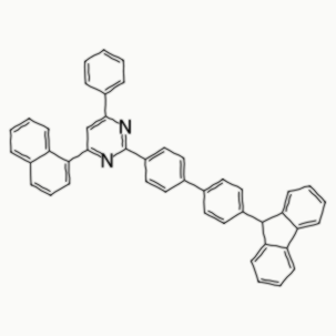 c1ccc(-c2cc(-c3cccc4ccccc34)nc(-c3ccc(-c4ccc(C5c6ccccc6-c6ccccc65)cc4)cc3)n2)cc1